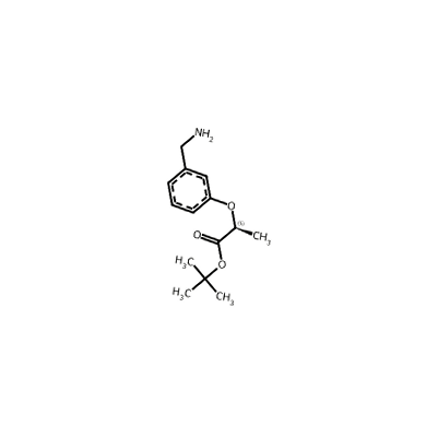 C[C@H](Oc1cccc(CN)c1)C(=O)OC(C)(C)C